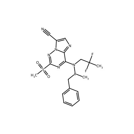 CB(Cc1ccccc1)N(CC(C)(F)F)c1nc(S(C)(=O)=O)nn2c(C#N)cnc12